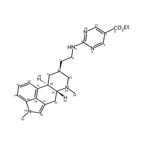 CCOC(=O)c1cnc(NCC[C@@H]2C[C@@H]3c4cccc5c4c(cn5C)C[C@H]3N(C)C2)nc1